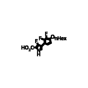 CCCCCCOc1ccc(-c2c[nH]c(C(=O)O)c2F)c(F)c1F